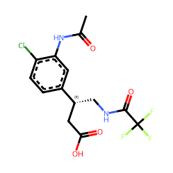 CC(=O)Nc1cc([C@H](CNC(=O)C(F)(F)F)CC(=O)O)ccc1Cl